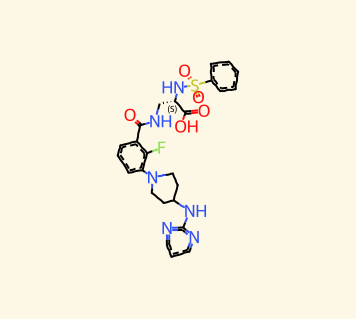 O=C(NC[C@H](NS(=O)(=O)c1ccccc1)C(=O)O)c1cccc(N2CCC(Nc3ncccn3)CC2)c1F